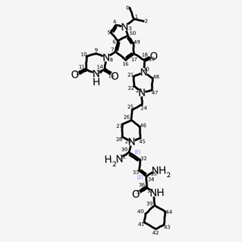 CC(C)n1ccc2c(N3CCC(=O)NC3=O)cc(C(=O)N3CCN(CCC4CCN(/C(N)=C/C=C(\N)C(=O)NC5CCCCC5)CC4)CC3)cc21